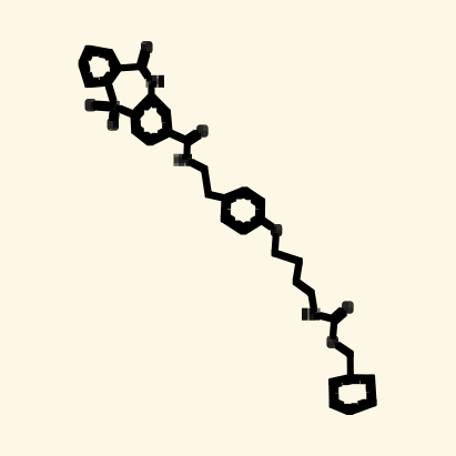 O=C(NCCCCOc1ccc(CCNC(=O)c2ccc3c(c2)NC(=O)c2ccccc2S3(=O)=O)cc1)OCc1ccccc1